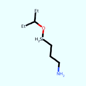 CCC(CC)O[SiH2]CCCN